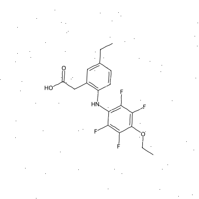 CCOc1c(F)c(F)c(Nc2ccc(CC)cc2CC(=O)O)c(F)c1F